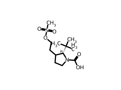 CC(C)(C)[C@H]1C(CCOS(C)(=O)=O)CCN1C(=O)O